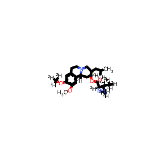 [2H]C([2H])([2H])Oc1cc2c(cc1OC)C1([2H])CC([2H])(OC(=O)[C@@]([2H])(N)C([2H])(C([2H])([2H])[2H])C([2H])([2H])[2H])C(CC(C)C)CN1CC2